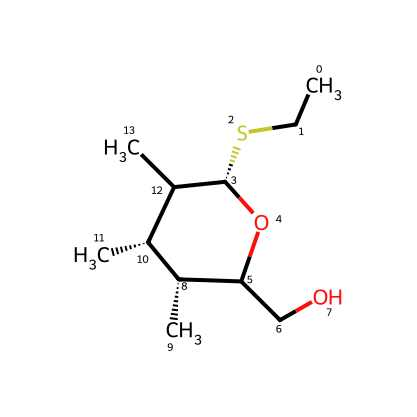 CCS[C@@H]1OC(CO)[C@H](C)[C@H](C)C1C